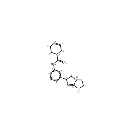 O=C(Nc1cccc(C2CN3CCSC3=N2)c1)C1CC=CCC1